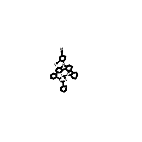 N#Cc1ccc(-n2c3ccccc3c3c2ccc2c4ccccc4n(-c4nc(-c5ccccc5)nc(-c5ccccc5)n4)c23)c(C#N)c1